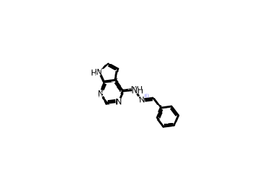 C(=N\Nc1ncnc2[nH]ccc12)/c1ccccc1